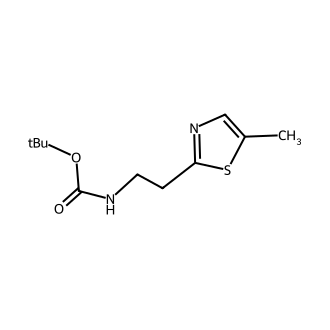 Cc1cnc(CCNC(=O)OC(C)(C)C)s1